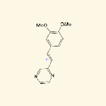 COc1ccc(/C=C/c2cnccn2)cc1OC